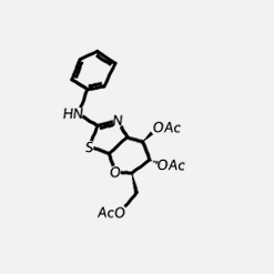 CC(=O)OC[C@H]1OC2SC(Nc3ccccc3)=NC2[C@@H](OC(C)=O)[C@@H]1OC(C)=O